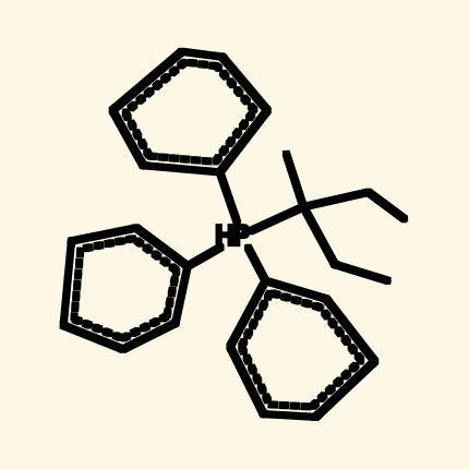 CCC(C)(CC)[PH](c1ccccc1)(c1ccccc1)c1ccccc1